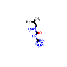 CC(C)CN(N)C(=O)Nc1nnn[nH]1